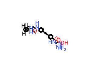 CC1(C)[C@H]2CC[C@@H](CNCC(=O)Nc3ccc(C#Cc4ccc(C(=O)N[C@@H](CN)C(=O)NO)cc4)cc3)[C@@H]1C2